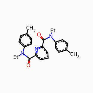 CCN(C(=O)c1cccc(C(=O)N(CC)c2ccc(C)cc2)n1)c1ccc(C)cc1